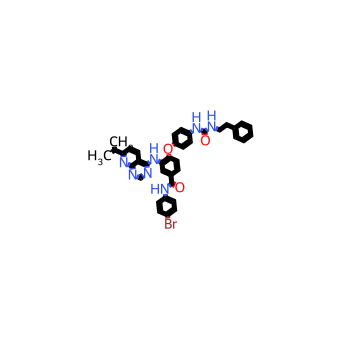 CC(C)c1ccc2c(Nc3cc(C(=O)Nc4ccc(Br)cc4)ccc3Oc3ccc(NC(=O)NCCc4ccccc4)cc3)ncnc2n1